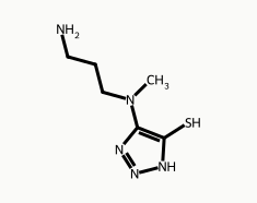 CN(CCCN)c1nn[nH]c1S